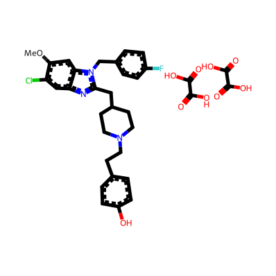 COc1cc2c(cc1Cl)nc(CC1CCN(CCc3ccc(O)cc3)CC1)n2Cc1ccc(F)cc1.O=C(O)C(=O)O.O=C(O)C(=O)O